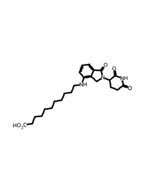 O=C(O)CCCCCCCCCCNc1cccc2c1CN(C1CCC(=O)NC1=O)C2=O